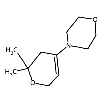 CC1(C)CC(N2CCOCC2)=CCO1